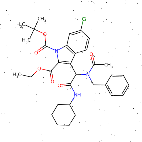 CCOC(=O)c1c(C(C(=O)NC2CCCCC2)N(Cc2ccccc2)C(C)=O)c2ccc(Cl)cc2n1C(=O)OC(C)(C)C